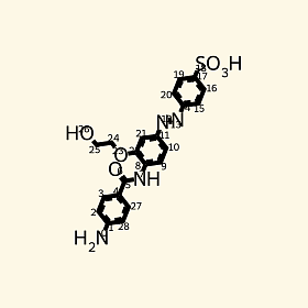 Nc1ccc(C(=O)Nc2ccc(/N=N/c3ccc(S(=O)(=O)O)cc3)cc2OCCO)cc1